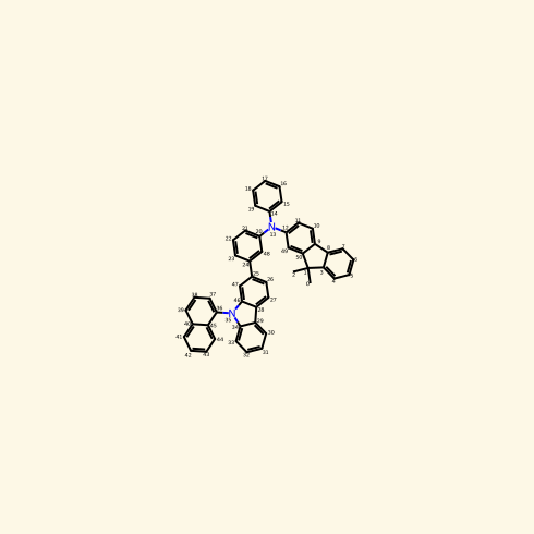 CC1(C)c2ccccc2-c2ccc(N(c3ccccc3)c3cccc(-c4ccc5c6ccccc6n(-c6cccc7ccccc67)c5c4)c3)cc21